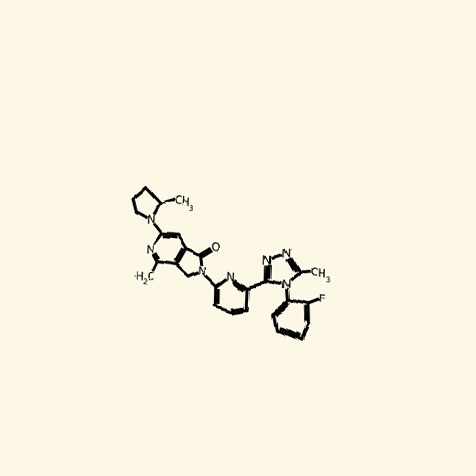 [CH2]c1nc(N2CCC[C@H]2C)cc2c1CN(c1cccc(-c3nnc(C)n3-c3ccccc3F)n1)C2=O